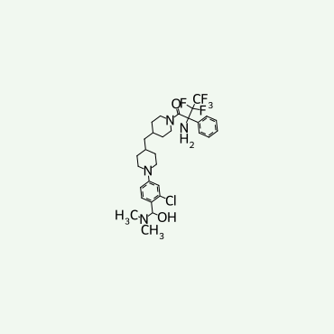 CN(C)C(O)c1ccc(N2CCC(CC3CCN(C(=O)C(N)(c4ccccc4)C(F)(F)C(F)(F)F)CC3)CC2)cc1Cl